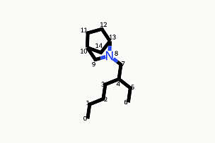 CCCCC(CC)CN1CC2CCC1C2